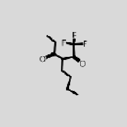 CCCCC(C(=O)CC)C(=O)C(F)(F)F